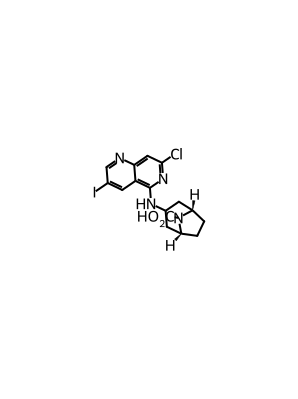 O=C(O)N1[C@@H]2CC[C@H]1CC(Nc1nc(Cl)cc3ncc(I)cc13)C2